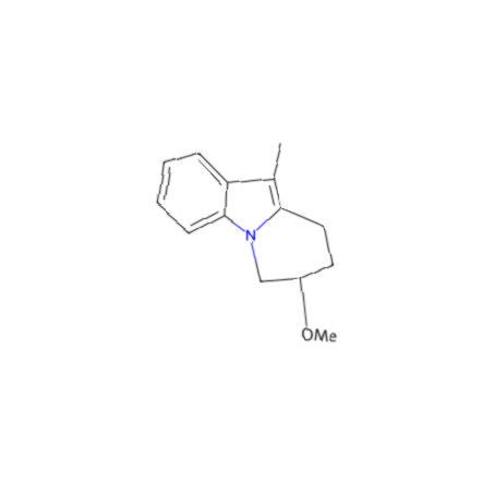 COC1CCc2c(C)c3ccccc3n2C1